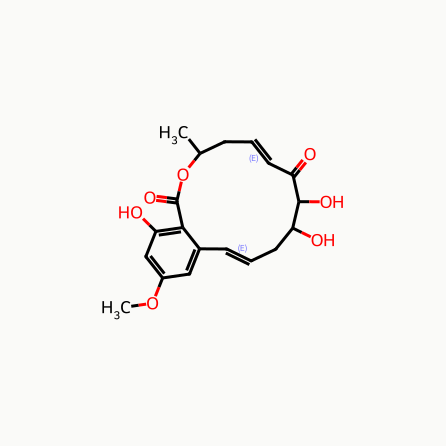 COc1cc(O)c2c(c1)/C=C/CC(O)C(O)C(=O)/C=C/CC(C)OC2=O